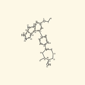 CCOc1cc(-c2ccc(N3CCC[C@@H](O)C(C)C3)nc2)c2c3cn[nH]c3nn2c1